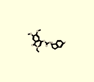 CCn1cc(OC(=O)NC2CCc3cc(F)ccc32)c2cc(OC)c(OC)cc2c1=O